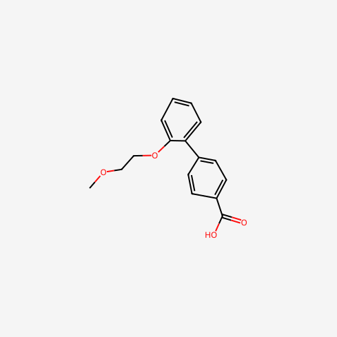 COCCOc1ccccc1-c1ccc(C(=O)O)cc1